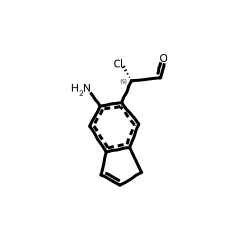 Nc1cc2c(cc1[C@H](Cl)C=O)CC=C2